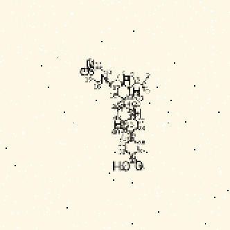 C=C(C)[C@@H]1CC[C@]2(CCN3CCS(=O)(=O)CC3)CC[C@]3(C)[C@H](CC[C@@H]4[C@@]5(C)CC=C(c6ccc(C(=O)O)cc6)C(C)(C)[C@@H]5CC[C@]43C)[C@@H]12